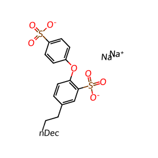 CCCCCCCCCCCCc1ccc(Oc2ccc(S(=O)(=O)[O-])cc2)c(S(=O)(=O)[O-])c1.[Na+].[Na+]